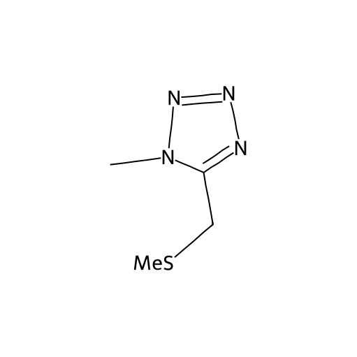 CSCc1nnnn1C